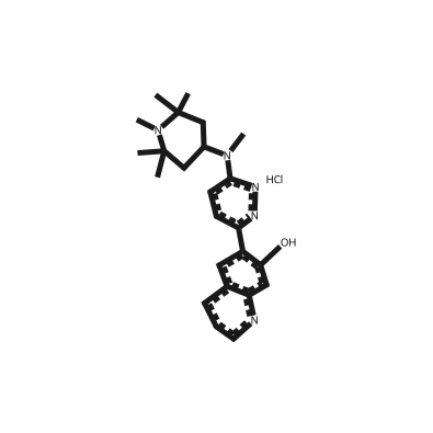 CN(c1ccc(-c2cc3cccnc3cc2O)nn1)C1CC(C)(C)N(C)C(C)(C)C1.Cl